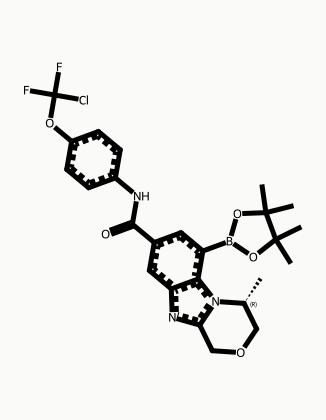 C[C@@H]1COCc2nc3cc(C(=O)Nc4ccc(OC(F)(F)Cl)cc4)cc(B4OC(C)(C)C(C)(C)O4)c3n21